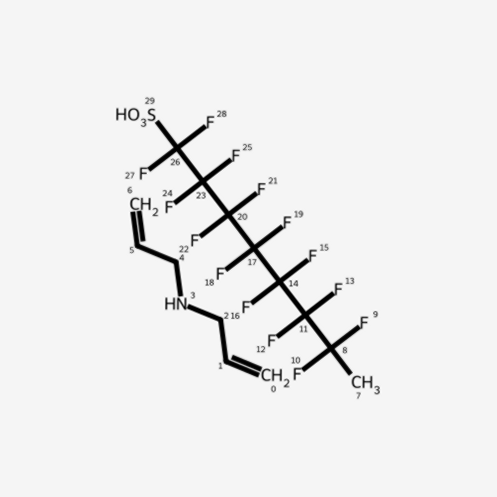 C=CCNCC=C.CC(F)(F)C(F)(F)C(F)(F)C(F)(F)C(F)(F)C(F)(F)C(F)(F)S(=O)(=O)O